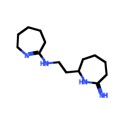 N=C1CCCCC(CCNC2=NCCCCC2)N1